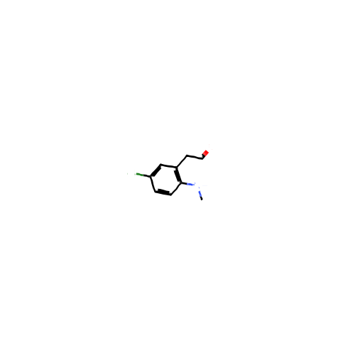 CNc1ccc(Cl)cc1CC=O